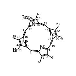 CC1=C(C)C2=NC1=CC1=NC(=CC3=NC(=CC4=NC(=C2)C(C)=C4C)C(C)=C3Br)C(C)=C1Br